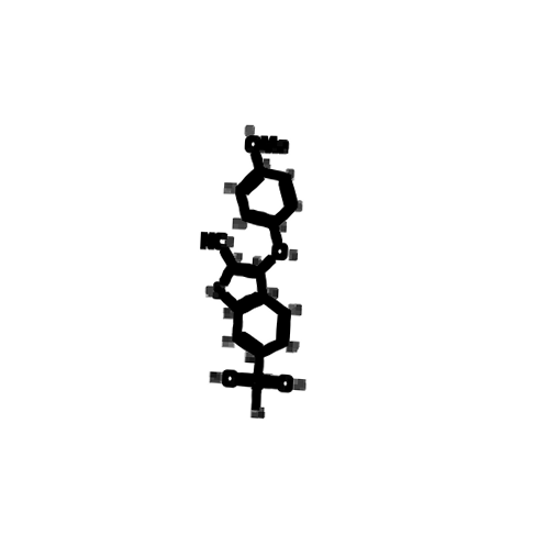 COc1ccc(Oc2c(C#N)sc3cc(S(C)(=O)=O)ccc23)cc1